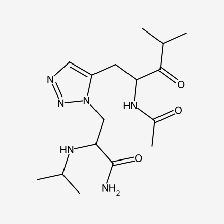 CC(=O)NC(Cc1cnnn1CC(NC(C)C)C(N)=O)C(=O)C(C)C